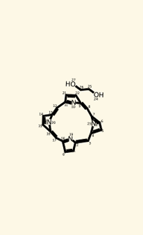 C1=Cc2cc3ccc(cc4nc(cc5ccc(cc1n2)[nH]5)C=C4)[nH]3.OCCO